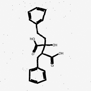 O=C(O)C(Cc1ccccc1)C(O)(CCc1ccccc1)C(=O)O